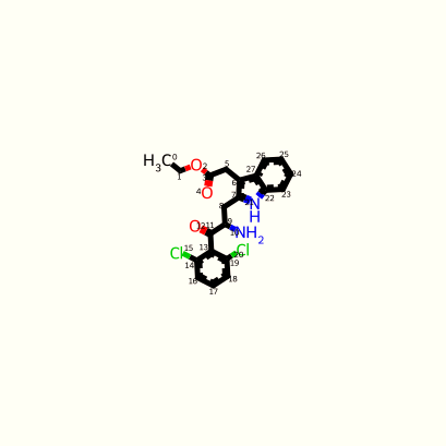 CCOC(=O)Cc1c(CC(N)C(=O)c2c(Cl)cccc2Cl)[nH]c2ccccc12